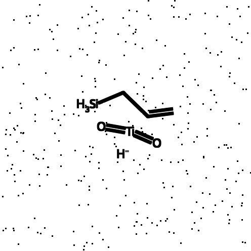 C=CC[SiH3].[H-].[O]=[Ti]=[O]